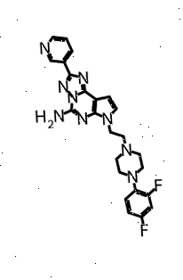 Nc1nc2c(ccn2CCN2CCN(c3ccc(F)cc3F)CC2)c2nc(-c3cccnc3)nn12